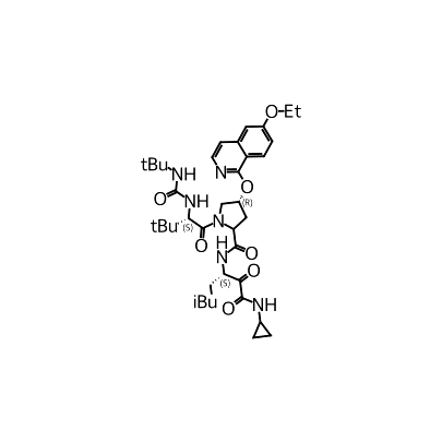 CCOc1ccc2c(O[C@@H]3CC(C(=O)N[C@@H](CC(C)CC)C(=O)C(=O)NC4CC4)N(C(=O)[C@@H](NC(=O)NC(C)(C)C)C(C)(C)C)C3)nccc2c1